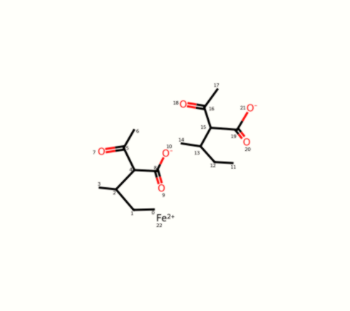 CCC(C)C(C(C)=O)C(=O)[O-].CCC(C)C(C(C)=O)C(=O)[O-].[Fe+2]